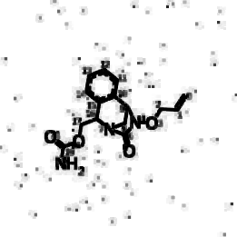 C=CCON1C(=O)N2CC1c1ccccc1C2COC(N)=O